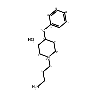 Cl.NCCCN1CCC(Oc2ccccc2)CC1